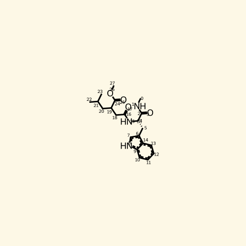 CNC(=O)[C@H](Cc1c[nH]c2ccccc12)NC(=O)CC(CC(C)C)C(=O)OC